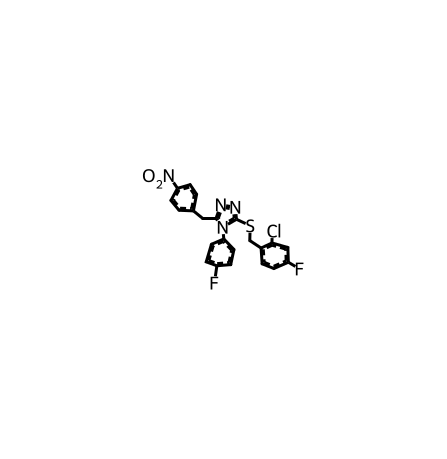 O=[N+]([O-])c1ccc(Cc2nnc(SCc3ccc(F)cc3Cl)n2-c2ccc(F)cc2)cc1